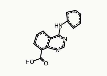 O=C(O)c1cccc2c(Nc3ccccc3)ncnc12